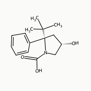 CC(C)(C)[C@]1(c2ccccc2)C[C@H](O)CN1C(=O)O